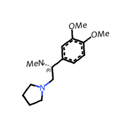 CN[C@@H](CN1CCCC1)c1ccc(OC)c(OC)c1